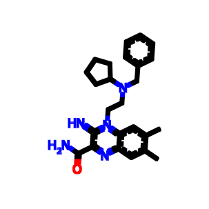 Cc1cc2nc(C(N)=O)c(=N)n(CCN(Cc3ccccc3)C3CCCC3)c2cc1C